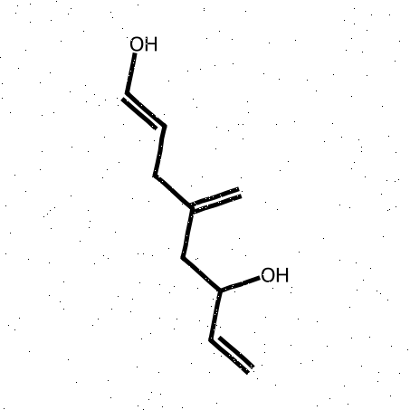 C=CC(O)CC(=C)CC=CO